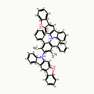 N#Cc1c(-c2ccccc2)c(-n2c3ccccc3c3cc4c(cc32)oc2ccccc24)c(-c2ccccc2)c(C#N)c1-n1c2ccccc2c2cc3c(cc21)oc1ccccc13